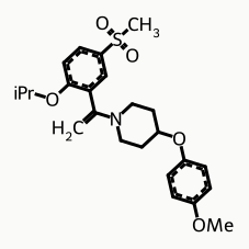 C=C(c1cc(S(C)(=O)=O)ccc1OC(C)C)N1CCC(Oc2ccc(OC)cc2)CC1